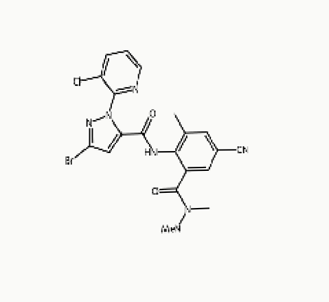 CNN(C)C(=O)c1cc(C#N)cc(C)c1NC(=O)c1cc(Br)nn1-c1ncccc1Cl